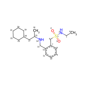 CCNS(=O)(=O)Cc1ccccc1CNC(C)CC1CCCCC1